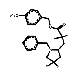 COc1ccc(COC(=O)C(C)(C)CC2CC(F)(F)CN2Cc2ccccc2)cc1